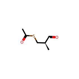 CC(=O)SC[C@H](C)[C]=O